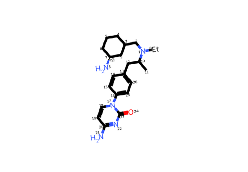 CCN(CC1CCC[C@H](N)C1)C(C)Cc1ccc(-n2ccc(N)nc2=O)cc1